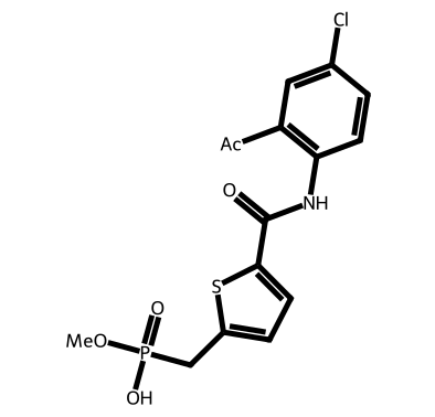 COP(=O)(O)Cc1ccc(C(=O)Nc2ccc(Cl)cc2C(C)=O)s1